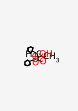 CC1OCC(OCc2ccccc2)C(OCc2ccccc2)[C@]1(C)O